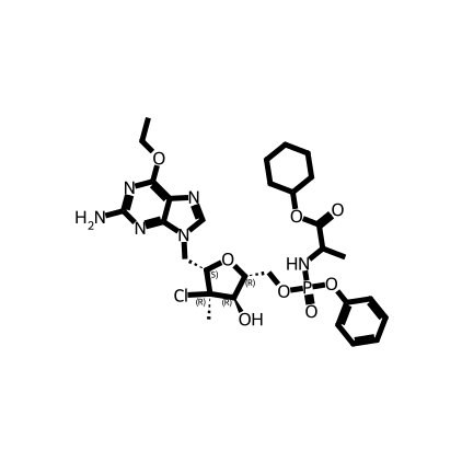 CCOc1nc(N)nc2c1ncn2C[C@@H]1O[C@H](COP(=O)(NC(C)C(=O)OC2CCCCC2)Oc2ccccc2)[C@@H](O)[C@@]1(C)Cl